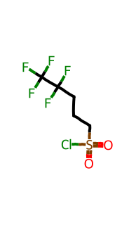 O=S(=O)(Cl)CCCC(F)(F)C(F)(F)F